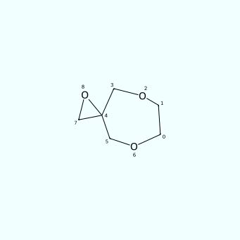 C1COCC2(CO1)CO2